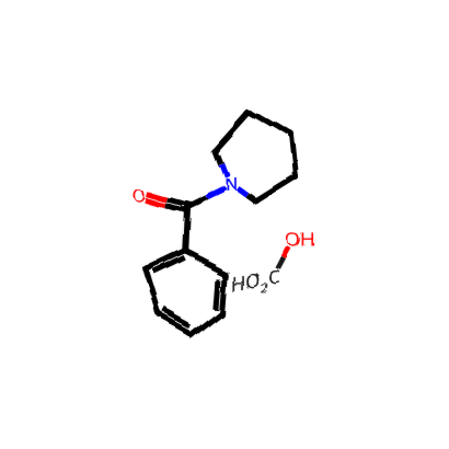 O=C(O)O.O=C(c1ccccc1)N1CCCCC1